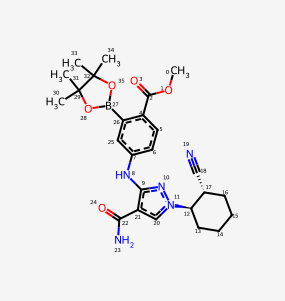 COC(=O)c1ccc(Nc2nn([C@@H]3CCCC[C@H]3C#N)cc2C(N)=O)cc1B1OC(C)(C)C(C)(C)O1